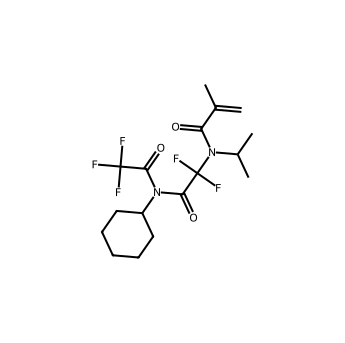 C=C(C)C(=O)N(C(C)C)C(F)(F)C(=O)N(C(=O)C(F)(F)F)C1CCCCC1